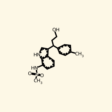 Cc1ccc(C(CCO)c2c[nH]c3c(NS(C)(=O)=O)cccc23)cc1